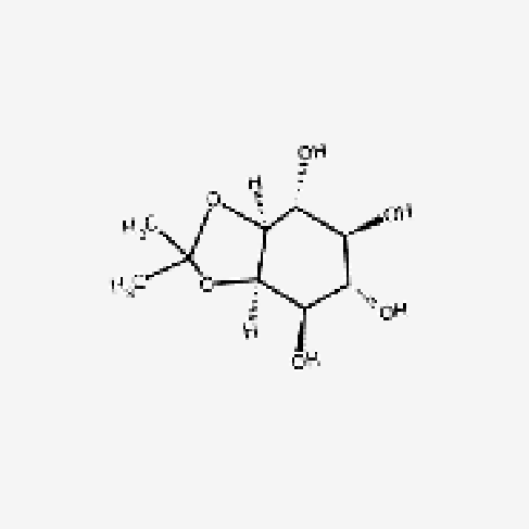 CC1(C)O[C@@H]2[C@H](O)[C@@H](O)[C@H](O)[C@@H](O)[C@@H]2O1